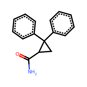 NC(=O)C1CC1(c1ccccc1)c1ccccc1